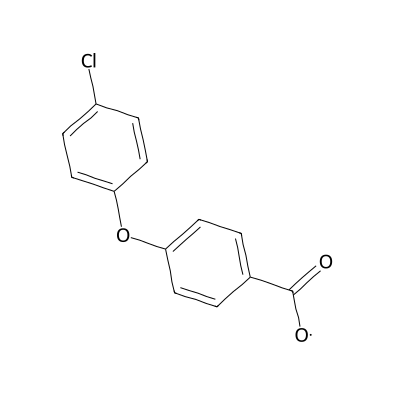 [O]C(=O)c1ccc(Oc2ccc(Cl)cc2)cc1